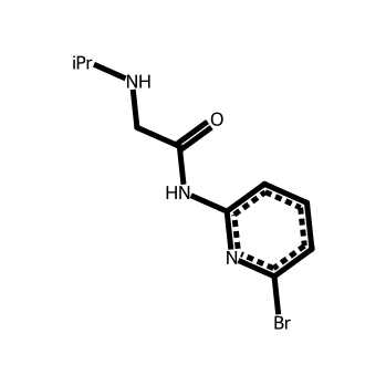 CC(C)NCC(=O)Nc1cccc(Br)n1